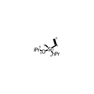 C=C[Si](C)(CCC)OC(C)C